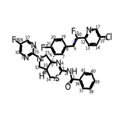 O=C(NC1=N[C@]2(c3cc(/C=C(\F)c4ccc(Cl)cn4)ccc3F)CN(c3ncc(F)cn3)C[C@@H]2CS1)c1ccccc1